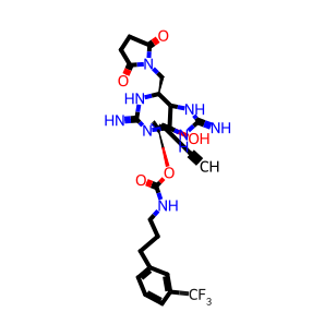 C#CC1(O)[C@@H](OC(=O)NCCCc2cccc(C(F)(F)F)c2)CN2C(=N)N[C@@H](CN3C(=O)CCC3=O)C3NC(=N)NC321